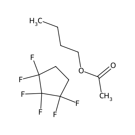 CCCCOC(C)=O.FC1(F)CCC(F)(F)C1(F)F